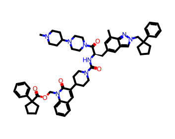 Cc1cc(C[C@@H](NC(=O)N2CCC(c3cc4ccccc4n(COC(=O)C4(c5ccccc5)CCCC4)c3=O)CC2)C(=O)N2CCN(C3CCN(C)CC3)CC2)cc2cn(CC3(c4ccccc4)CCCC3)nc12